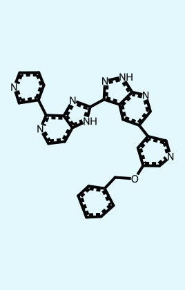 c1ccc(COc2cncc(-c3cnc4[nH]nc(-c5nc6c(-c7cccnc7)nccc6[nH]5)c4c3)c2)cc1